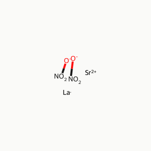 O=[N+]([O-])[O-].O=[N+]([O-])[O-].[La].[Sr+2]